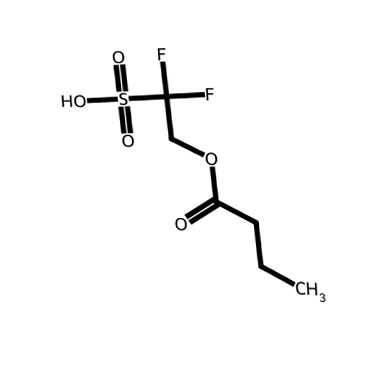 CCCC(=O)OCC(F)(F)S(=O)(=O)O